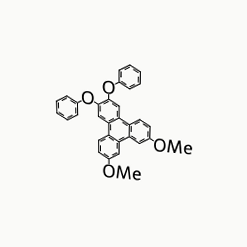 COc1ccc2c(c1)c1cc(OC)ccc1c1cc(Oc3ccccc3)c(Oc3ccccc3)cc21